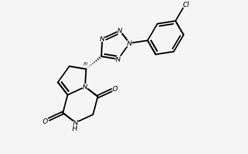 O=C1NCC(=O)N2C1=CC[C@@H]2c1nnn(-c2cccc(Cl)c2)n1